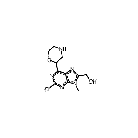 Cn1c(CO)nc2c(C3CNCCO3)nc(Cl)nc21